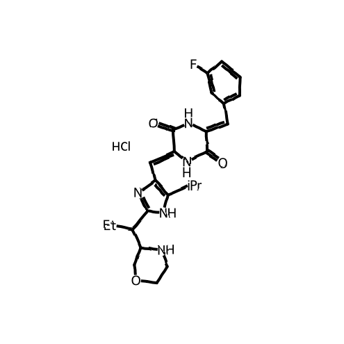 CCC(c1nc(/C=c2\[nH]c(=O)/c(=C/c3cccc(F)c3)[nH]c2=O)c(C(C)C)[nH]1)C1COCCN1.Cl